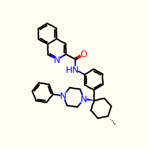 C[C@H]1CC[C@](c2cccc(NC(=O)c3cc4ccccc4cn3)c2)(N2CCN(c3ccccc3)CC2)CC1